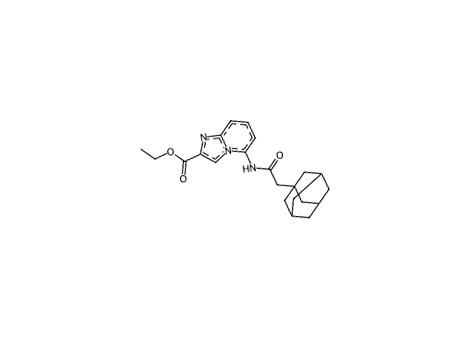 CCOC(=O)c1cn2c(NC(=O)CC34CC5CC(CC(C5)C3)C4)cccc2n1